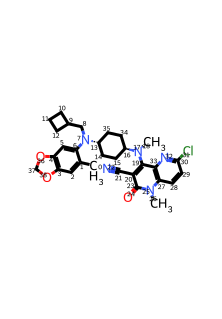 Cc1cc2c(cc1N(CC1CCC1)[C@H]1CC[C@H](N(C)c3c(C#N)c(=O)n(C)c4ccc(Cl)nc34)CC1)OCO2